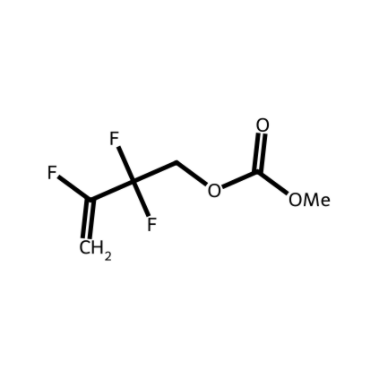 C=C(F)C(F)(F)COC(=O)OC